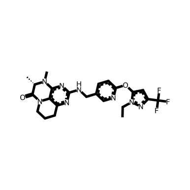 CCn1nc(C(F)(F)F)cc1Oc1ccc(CNc2nc3c4c(n2)N(C)[C@@H](C)C(=O)N4CCC3)cn1